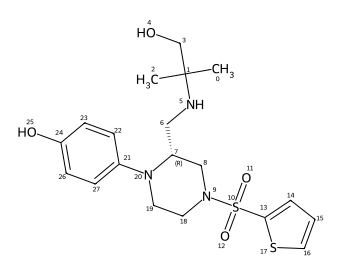 CC(C)(CO)NC[C@@H]1CN(S(=O)(=O)c2cccs2)CCN1c1ccc(O)cc1